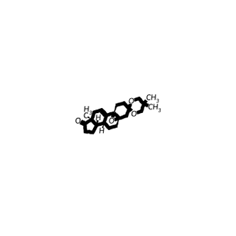 CC1(C)COC2(CC[C@]34O[C@@]3(CC[C@@H]3C4=CC[C@]4(C)C(=O)CC[C@@H]34)C2)OC1